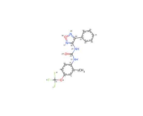 Cc1cc(OC(F)(F)F)ccc1NC(=O)Nc1nonc1-c1ccccc1